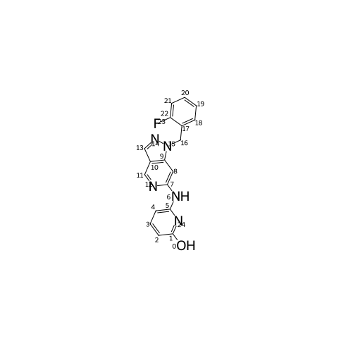 Oc1cccc(Nc2cc3c(cn2)cnn3Cc2ccccc2F)n1